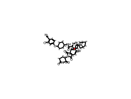 N#Cc1ccc(OC2CCC(NC(=O)c3ccc(N4C5CCC4CN(Cc4cc6c(cc4Br)C(=O)N(C4CCC(=O)NC4=O)C6=O)C5)nn3)CC2)cc1Cl